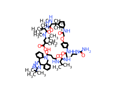 CN[C@H](C(=O)N[C@H](C(=O)N(C)[C@@H](/C=C(\C)C(=O)O)C(C)C)C(C)(C)C)C(C)(C)c1cccc(NC(=O)COc2ccc(NC(=O)[C@H](CCCNC(N)=O)NC(=O)[C@@H](NC(=O)CCC(=O)N3Cc4ccccc4C(N)C(/N=N\CC(C)(C)C)c4ccccc43)C(C)C)cc2)c1